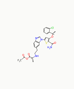 C[C@H](NCCc1ccc2ncn(-c3cc(O[C@H](C)c4ccccc4Cl)c(C(N)=O)s3)c2c1)C(=O)OC(=O)C(F)(F)F